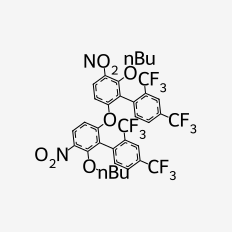 CCCCOc1c([N+](=O)[O-])ccc(Oc2ccc([N+](=O)[O-])c(OCCCC)c2-c2ccc(C(F)(F)F)cc2C(F)(F)F)c1-c1ccc(C(F)(F)F)cc1C(F)(F)F